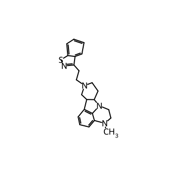 CN1CCN2c3c(cccc31)C1CN(CCc3nsc4ccccc34)CCC12